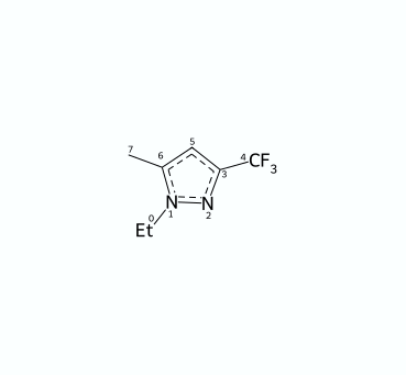 CCn1nc(C(F)(F)F)cc1C